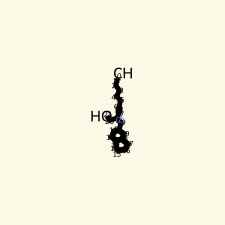 C#CCCCCC#C/C(=C/c1ccc2ccccc2c1)CO